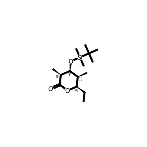 CC[C@H]1OC(=O)[C@@H](C)[C@@H](O[Si](C)(C)C(C)(C)C)[C@H]1C